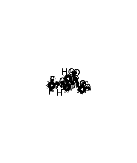 COc1cccc(CCN(CCC(=O)O)C(=O)c2ccccc2-c2ccccc2C(=O)NCc2cc(F)ccc2F)c1OC